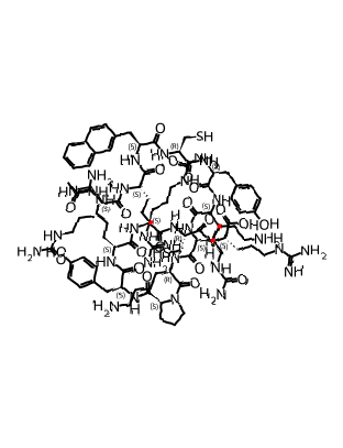 CC(=O)N[C@@H](CCCNC(N)=O)C(=O)N[C@@H](CCCNC(=N)N)C(=O)N[C@@H](Cc1ccc2ccccc2c1)C(=O)N[C@@H](CS)C(=O)N[C@@H](Cc1ccc(O)cc1)C(=O)N[C@@H](CCCNC(N)=O)C(=O)N[C@@H](CCCCN)C(=O)N[C@H](CCCCN)C(=O)N1CCC[C@H]1C(=O)N[C@@H](Cc1ccc(O)cc1)C(=O)N[C@@H](CCCNC(=N)N)C(=O)N[C@@H](CCCNC(N)=O)C(=O)N[C@@H](CS)C(=O)N[C@@H](CCCNC(=N)N)C(=O)O